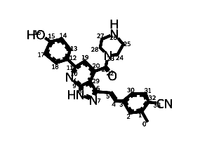 Cc1cc(C=Cc2n[nH]c3nc(-c4ccc(O)cc4)cc(C(=O)N4CCNCC4)c23)ccc1C#N